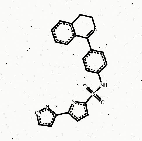 O=S(=O)(Nc1ccc(C2=NCCc3ccccc32)cc1)c1ccc(-c2ccon2)s1